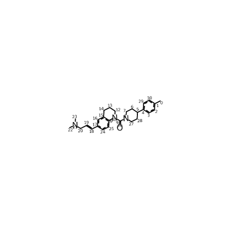 Cc1ccc(C2CCN(C(=O)N3CCCc4cc(C=CCN(C)C)ccc43)CC2)cc1